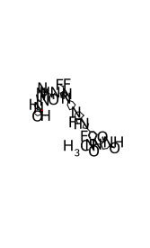 Cn1c(=O)n(C2CCC(=O)NC2=O)c2ccc(C3CN(C4CCN([C@H]5CC[C@H](n6cc(NC(=O)c7cnn8ccc(N9C[C@H]%10C[C@@H]9CO%10)nc78)c(C(F)F)n6)CC5)CC4(F)F)C3)c(F)c21